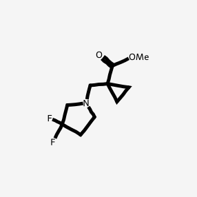 COC(=O)C1(CN2CCC(F)(F)C2)CC1